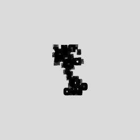 COC(=O)C1CCN(C/C=C/c2ccc(Cn3c(C(F)(F)F)nc4c(C)cc(C)nc43)cc2)CC1.Cl